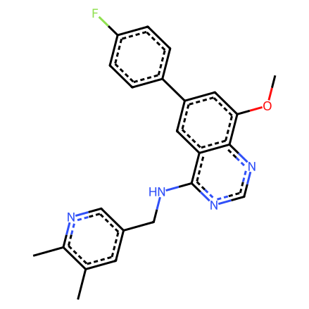 COc1cc(-c2ccc(F)cc2)cc2c(NCc3cnc(C)c(C)c3)ncnc12